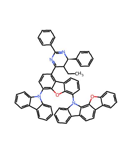 CCC1C(c2ccc(-n3c4ccccc4c4ccccc43)c3oc4c(-n5c6ccccc6c6ccc7c8ccccc8oc7c65)cccc4c23)=NC(c2ccccc2)=N[C@H]1c1ccccc1